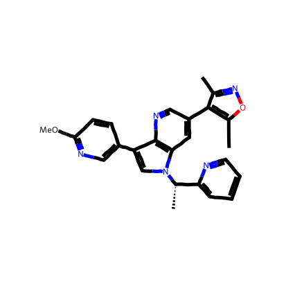 COc1ccc(-c2cn([C@@H](C)c3ccccn3)c3cc(-c4c(C)noc4C)cnc23)cn1